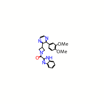 COc1ccc(-c2nccnc2C2CN(C(=O)c3nc4ccccc4[nH]3)C2)cc1OC